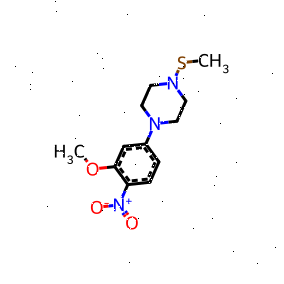 COc1cc(N2CCN(SC)CC2)ccc1[N+](=O)[O-]